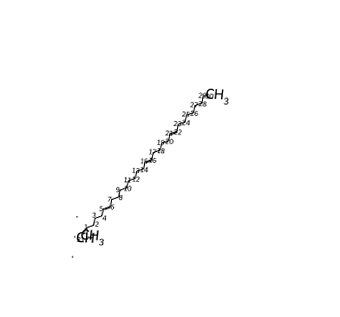 CCCCCC=CCCCCCCCCC=CCCCCC=CCCCCCCCC.[CH]